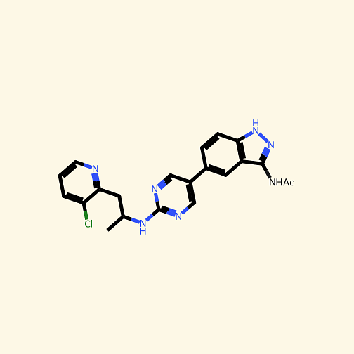 CC(=O)Nc1n[nH]c2ccc(-c3cnc(NC(C)Cc4ncccc4Cl)nc3)cc12